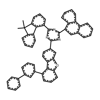 CC1(C)c2ccccc2-c2c(-c3nc(-c4ccc5c(c4)oc4cccc(-c6cccc(-c7ccccc7)c6)c45)nc(-c4cc5ccccc5c5ccccc45)n3)cccc21